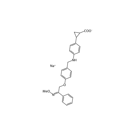 CO/N=C(\COc1ccc(CNc2ccc(C3CC3C(=O)[O-])cc2)cc1)c1ccccc1.[Na+]